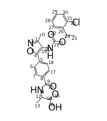 Cc1noc(-c2ccc(C(=O)NC(C)C(=O)O)cc2)c1NC(=O)OC(C)c1ccccc1Cl